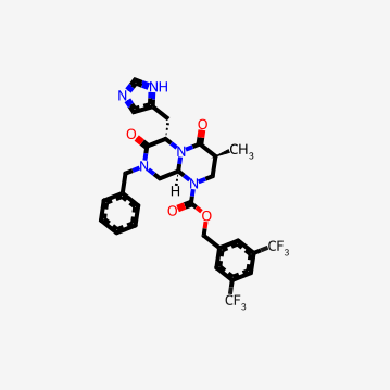 C[C@H]1CN(C(=O)OCc2cc(C(F)(F)F)cc(C(F)(F)F)c2)[C@H]2CN(Cc3ccccc3)C(=O)[C@H](Cc3cnc[nH]3)N2C1=O